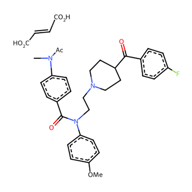 COc1ccc(N(CCN2CCC(C(=O)c3ccc(F)cc3)CC2)C(=O)c2ccc(N(C)C(C)=O)cc2)cc1.O=C(O)C=CC(=O)O